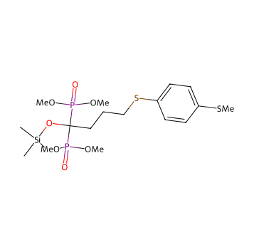 COP(=O)(OC)C(CCCSc1ccc(SC)cc1)(O[Si](C)(C)C)P(=O)(OC)OC